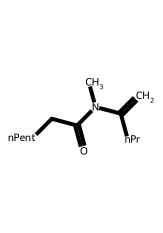 C=C(CCC)N(C)C(=O)CCCCCC